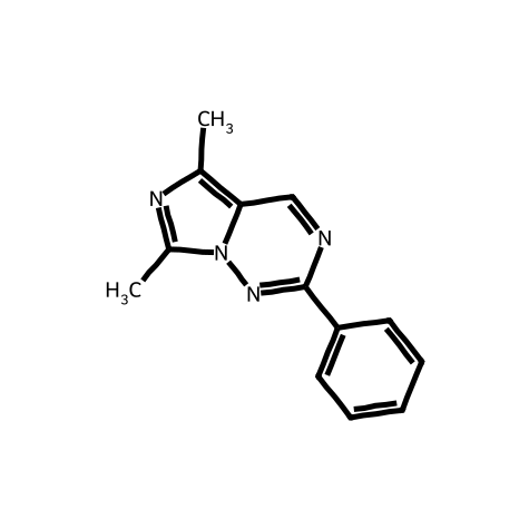 Cc1nc(C)n2nc(-c3ccccc3)ncc12